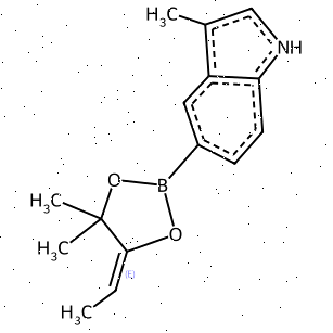 C/C=C1/OB(c2ccc3[nH]cc(C)c3c2)OC1(C)C